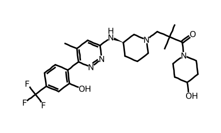 Cc1cc(N[C@@H]2CCCN(CC(C)(C)C(=O)N3CCC(O)CC3)C2)nnc1-c1ccc(C(F)(F)F)cc1O